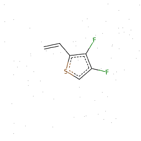 C=Cc1scc(F)c1F